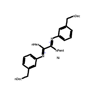 CCCCCCCCCCCc1cccc(/N=C(CCCCC)/C(CCCCCC)=N/c2cccc(CCCCCCCCCCC)c2)c1.[Ni]